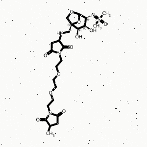 CC1CC(=O)N(CCOCCOCCN2C(=O)CC(NC[C@@]34COC(O3)[C@H](N=S(C)(C)=O)[C@@H](O)[C@H]4O)C2=O)C1=O